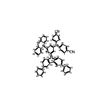 N#Cc1ccc(N(c2ccc(C#N)cc2)c2cc(N3c4ccccc4Sc4ccccc43)nc(-n3c4ccc(-c5ccccc5)cc4c4cc(-c5ccccc5)ccc43)c2)cc1